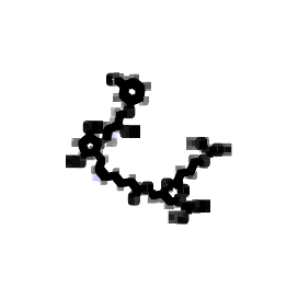 O=C(CCC/C=C\C[C@@H]1[C@@H](/C=C/[C@@H](O)COc2cccc(Cl)c2)[C@H](O)C[C@@H]1O)OCC(CON(O)O)OC(=O)CCCON(O)O